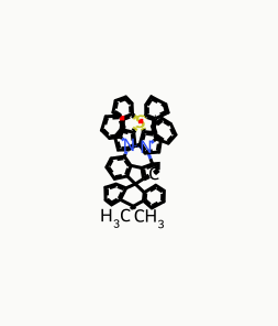 CC1(C)c2ccccc2C2(c3ccccc31)c1cccc(N(c3ccccc3)c3cccc4c3sc3ccccc34)c1-c1c(N(c3ccccc3)c3cccc4c3sc3ccccc34)cccc12